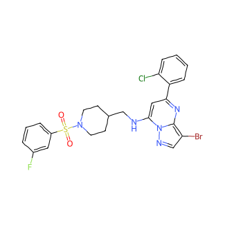 O=S(=O)(c1cccc(F)c1)N1CCC(CNc2cc(-c3ccccc3Cl)nc3c(Br)cnn23)CC1